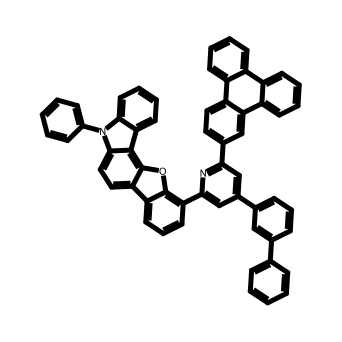 c1ccc(-c2cccc(-c3cc(-c4ccc5c6ccccc6c6ccccc6c5c4)nc(-c4cccc5c4oc4c5ccc5c4c4ccccc4n5-c4ccccc4)c3)c2)cc1